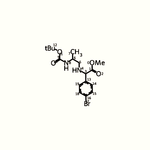 COC(=O)C(NCC(C)NC(=O)OC(C)(C)C)c1ccc(Br)cc1